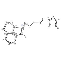 CN1/C(=N\CCCCn2ccnc2)c2cccc3cccc1c23